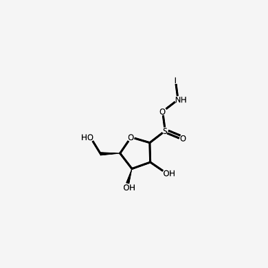 O=S(ONI)C1O[C@H](CO)[C@H](O)C1O